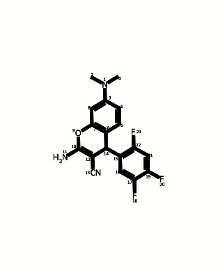 CN(C)c1ccc2c(c1)OC(N)=C(C#N)C2c1cc(F)c(F)cc1F